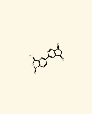 C=C1OC(=O)c2ccc(-c3ccc4c(c3)C(=O)CC4=O)cc21